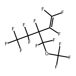 FC(F)=C(F)C(F)(C(F)(F)OC(F)(F)F)C(F)(F)C(F)(F)F